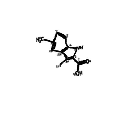 Cc1ccc2[nH]c(C(=O)O)c(I)c2c1